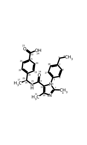 CCc1ccc(-n2c(C)nc(C)c2C(=O)N[C@@H](C)c2ccc(C(=O)O)cc2)cc1